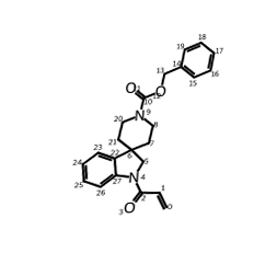 C=CC(=O)N1CC2(CCN(C(=O)OCc3ccccc3)CC2)c2ccccc21